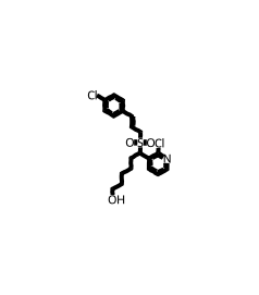 O=S(=O)(CC=Cc1ccc(Cl)cc1)C(CCCCCO)c1cccnc1Cl